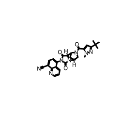 Cn1nc(C(C)(C)C)cc1C(=O)N1C[C@H]2CC1[C@H]1C(=O)N(c3ccc(C#N)c4ncccc34)C(=O)N21